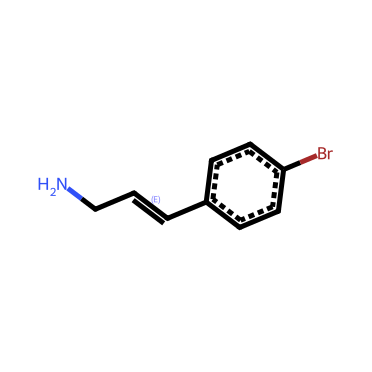 NC/C=C/c1ccc(Br)cc1